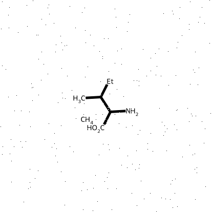 C.CCC(C)C(N)C(=O)O